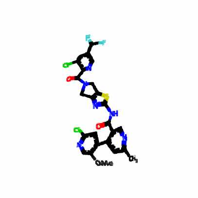 COc1cnc(Cl)cc1-c1cc(C)ncc1C(=O)Nc1nc2c(s1)CN(C(=O)c1ncc(C(F)F)cc1Cl)C2